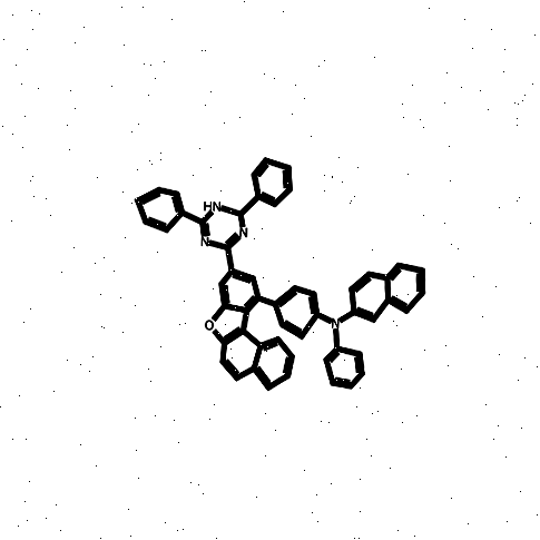 c1ccc(C2=NC(c3cc(-c4ccc(N(c5ccccc5)c5ccc6ccccc6c5)cc4)c4c(c3)oc3ccc5ccccc5c34)=NC(c3ccccc3)N2)cc1